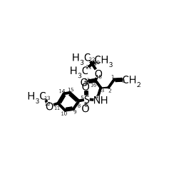 C=CC[C@@H](NS(=O)(=O)c1ccc(OC)cc1)C(=O)OC(C)(C)C